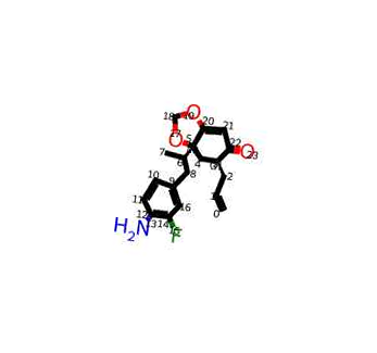 C=CC[C@H]1C[C@]2(C(C)Cc3ccc(N)c(F)c3)OCOC2=CC1=O